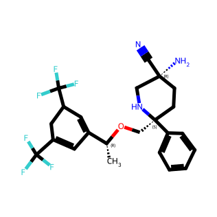 C[C@@H](OC[C@@]1(c2ccccc2)CC[C@](N)(C#N)CN1)C1=CC(C(F)(F)F)CC(C(F)(F)F)=C1